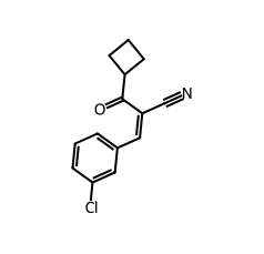 N#C/C(=C/c1cccc(Cl)c1)C(=O)C1CCC1